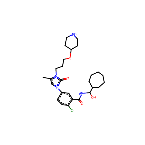 Cc1cn(-c2ccc(Cl)c(C(=O)NC(O)C3CCCCCC3)c2)c(=O)n1CCCOC1CCNCC1